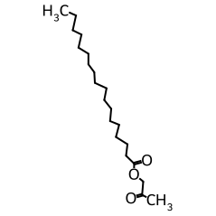 CCCCCCCCCCCCCCCCCC(=O)OCC(C)=O